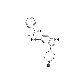 CCN1CCC(c2c[nH]c3ccc(NC(C)C(=O)c4ccccc4)cc23)CC1